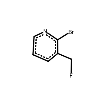 FCc1cccnc1Br